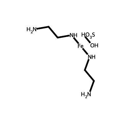 NCC[NH][Fe][NH]CCN.O=S(=O)(O)O